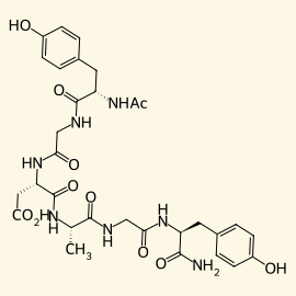 CC(=O)N[C@@H](Cc1ccc(O)cc1)C(=O)NCC(=O)N[C@@H](CC(=O)O)C(=O)N[C@@H](C)C(=O)NCC(=O)N[C@@H](Cc1ccc(O)cc1)C(N)=O